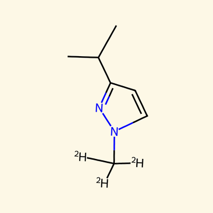 [2H]C([2H])([2H])n1ccc(C(C)C)n1